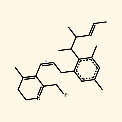 CC=CC(C)C(C)c1c(C)cc(C)cc1C/C=C\C1=C(C)CCN=C1CC(C)C